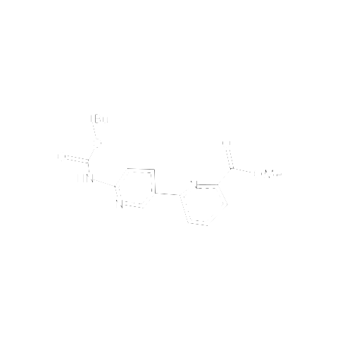 COC(=O)c1cccc(-c2ccc(NC(=O)OC(C)(C)C)nc2)n1